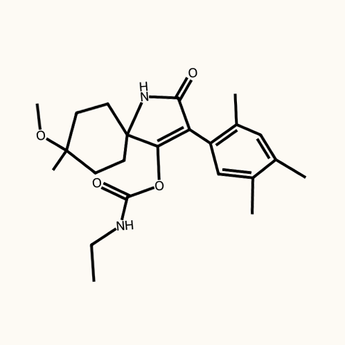 CCNC(=O)OC1=C(c2cc(C)c(C)cc2C)C(=O)NC12CCC(C)(OC)CC2